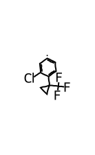 FC(F)(F)C1(c2cc[c]cc2Cl)CC1